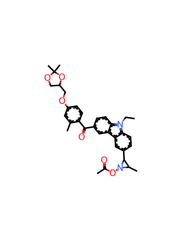 CCn1c2ccc(C(=O)c3ccc(OCC4COC(C)(C)O4)cc3C)cc2c2cc(C3C(C)N3OC(C)=O)ccc21